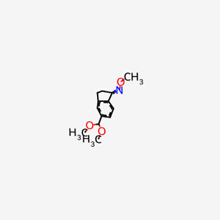 CON=C1CCc2cc(C(OC)OC)ccc21